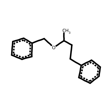 CC(CCc1ccccc1)OCc1ccccc1